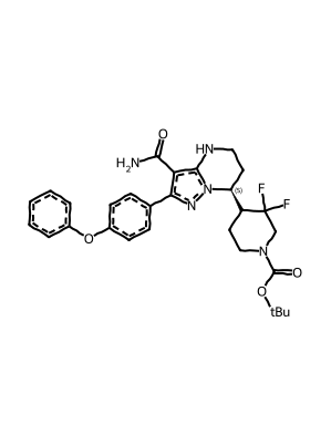 CC(C)(C)OC(=O)N1CCC([C@@H]2CCNc3c(C(N)=O)c(-c4ccc(Oc5ccccc5)cc4)nn32)C(F)(F)C1